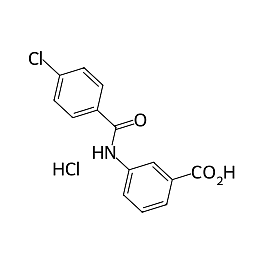 Cl.O=C(O)c1cccc(NC(=O)c2ccc(Cl)cc2)c1